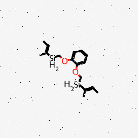 CC=C(C)[SiH2]COc1ccccc1OC[SiH2]C(C)=CC